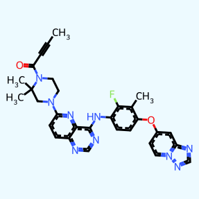 CC#CC(=O)N1CCN(c2ccc3ncnc(Nc4ccc(Oc5ccn6ncnc6c5)c(C)c4F)c3n2)CC1(C)C